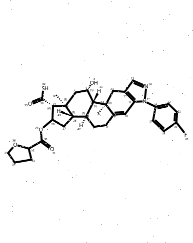 C[C@]12C[C@H](O)[C@H]3[C@@H](CCC4=Cc5c(cnn5-c5ccc(F)cc5)C[C@@]43C)[C@@H]1CC(OC(=O)C1CCCO1)[C@@H]2C(=O)S